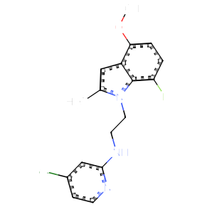 COc1ccc(F)c2c1cc(C)n2CCNc1cc(Cl)ccn1